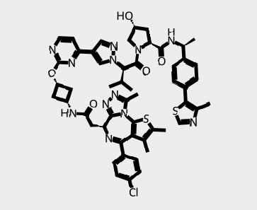 Cc1ncsc1-c1ccc([C@H](C)NC(=O)[C@@H]2C[C@@H](O)CN2C(=O)[C@@H](C(C)C)n2cc(-c3ccnc(O[C@H]4C[C@@H](NC(=O)C[C@@H]5N=C(c6ccc(Cl)cc6)c6c(sc(C)c6C)-n6c(C)nnc65)C4)n3)cn2)cc1